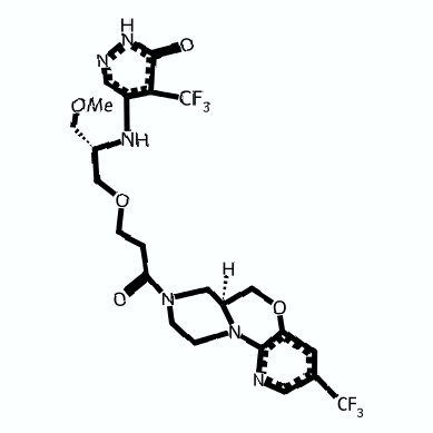 COC[C@@H](COCCC(=O)N1CCN2c3ncc(C(F)(F)F)cc3OC[C@@H]2C1)Nc1cn[nH]c(=O)c1C(F)(F)F